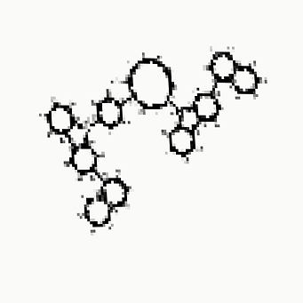 Cc1cccccc(-n2c3ccccc3c3ccc(-c4cccc5ccccc45)cc32)ccc1-c1ccc(-n2c3ccccc3c3ccc(-c4cccc5ccccc45)cc32)cc1